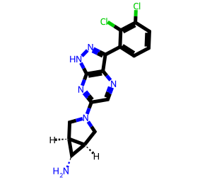 N[C@@H]1[C@H]2CN(c3cnc4c(-c5cccc(Cl)c5Cl)n[nH]c4n3)C[C@@H]12